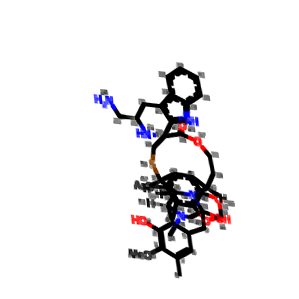 COC1=C(O)C2C(C=C1C)CC1(O)CN(C)[C@@H]2[C@@H]2[C@@H]3SC[C@]4(N[C@@H](CN)Cc5c4[nH]c4ccccc54)C(=O)OCC[C@@H](c4c5c(c(C)c(OC(C)=O)c43)OCO5)N21